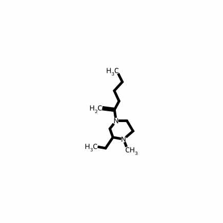 C=C(CCCC)N1CCN(C)C(CC)C1